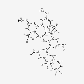 COc1cc(-c2cc(OC)cc(C(C)(C)C)c2Op2oc3c(C(C)(C)C)cc(CO)cc3c3cc(CO)cc(C(C)(C)C)c3o2)c(OP2OCC(C)(C)CO2)c(C(C)(C)C)c1